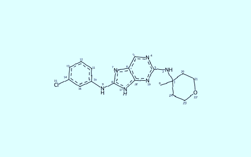 CC1(Nc2ncc3nc(Nc4cccc(Cl)c4)[nH]c3n2)CCOCC1